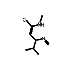 C=NC(/C=C(/Cl)NC)C(C)C